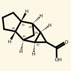 O=C(O)C1[C@@H]2[C@H]3C[C@H]([C@@H]4CCC[C@@H]43)[C@H]12